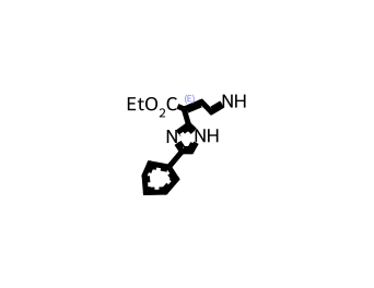 CCOC(=O)/C(=C/C=N)c1nc(-c2ccccc2)c[nH]1